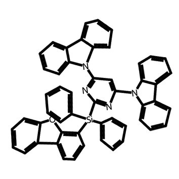 c1ccc([Si](c2ccccc2)(c2nc(-n3c4ccccc4c4ccccc43)cc(-n3c4ccccc4c4ccccc43)n2)c2cccc3c2oc2ccccc23)cc1